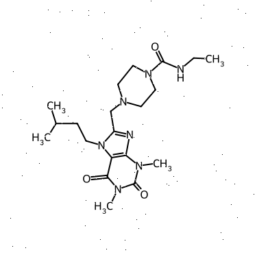 CCNC(=O)N1CCN(Cc2nc3c(c(=O)n(C)c(=O)n3C)n2CCC(C)C)CC1